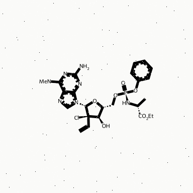 C=C[C@@]1(Cl)[C@H](O)[C@@H](CO[P@@](=O)(N[C@H](C)C(=O)OCC)Oc2ccccc2)O[C@H]1n1cnc2c(NC)nc(N)nc21